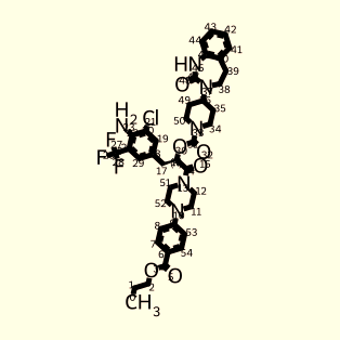 CCCOC(=O)c1ccc(N2CCN(C(=O)[C@@H](Cc3cc(Cl)c(N)c(C(F)(F)F)c3)OC(=O)N3CCC(N4CCc5ccccc5NC4=O)CC3)CC2)cc1